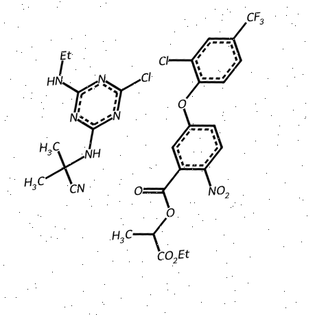 CCNc1nc(Cl)nc(NC(C)(C)C#N)n1.CCOC(=O)C(C)OC(=O)c1cc(Oc2ccc(C(F)(F)F)cc2Cl)ccc1[N+](=O)[O-]